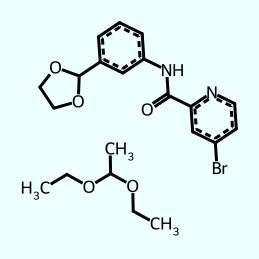 CCOC(C)OCC.O=C(Nc1cccc(C2OCCO2)c1)c1cc(Br)ccn1